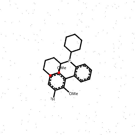 [2H]c1ccc(OC)c(-c2ccccc2P(C2CCCCC2)C2CCCCC2)c1OC